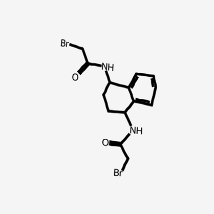 O=C(CBr)NC1CCC(NC(=O)CBr)c2ccccc21